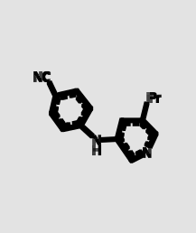 CC(C)c1cncc(Nc2ccc(C#N)cc2)c1